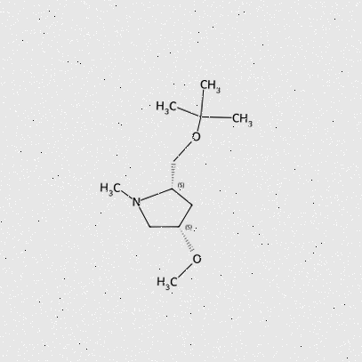 CO[C@H]1C[C@@H](COC(C)(C)C)N(C)C1